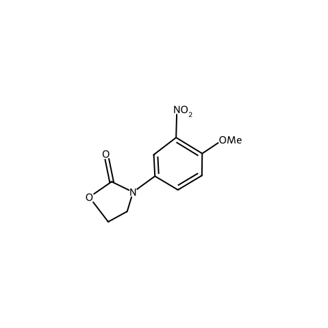 COc1ccc(N2CCOC2=O)cc1[N+](=O)[O-]